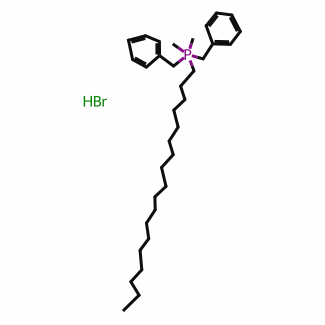 Br.CCCCCCCCCCCCCCCCCCP(C)(C)(Cc1ccccc1)Cc1ccccc1